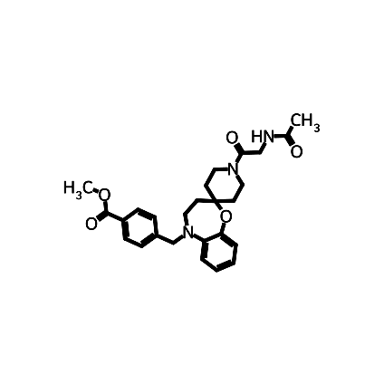 COC(=O)c1ccc(CN2CCC3(CCN(C(=O)CNC(C)=O)CC3)Oc3ccccc32)cc1